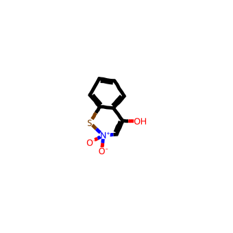 [O-][N+]1([O-])C=C(O)c2ccccc2S1